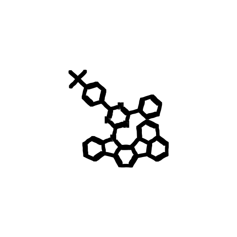 CC(C)(C)c1ccc(-c2nc(-c3ccccc3)nc(-n3c4ccccc4c4ccc5c(c43)-c3cccc4cccc-5c34)n2)cc1